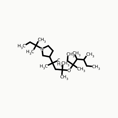 CCC(C)C(C)C(C)(CC)OC(C)(C)CC(C)(C)C1CCN(C(C)(C)CC)C1